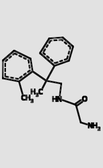 Cc1ccccc1C(C)(CNC(=O)CN)c1ccccc1